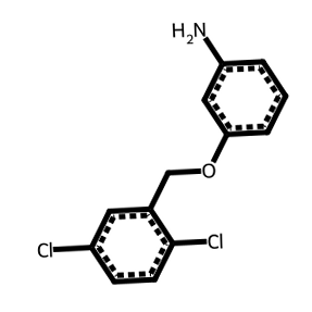 Nc1cccc(OCc2cc(Cl)ccc2Cl)c1